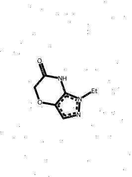 CCn1ncc2c1NC(=O)CO2